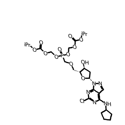 CC(C)OC(=O)OCOP(=O)(COC[C@H]1O[C@@H](n2ncc3c(NC4CCCC4)nc(Cl)nc32)C[C@@H]1O)OCOC(=O)OC(C)C